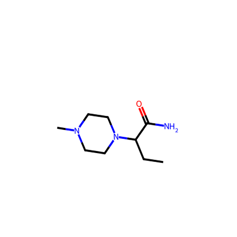 CCC(C(N)=O)N1CCN(C)CC1